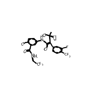 CC(Cl)(Cl)C(C(=O)Nc1ccc(Cl)c(C(=O)NCC(F)(F)F)c1)c1ccc(C(F)(F)F)c(F)c1